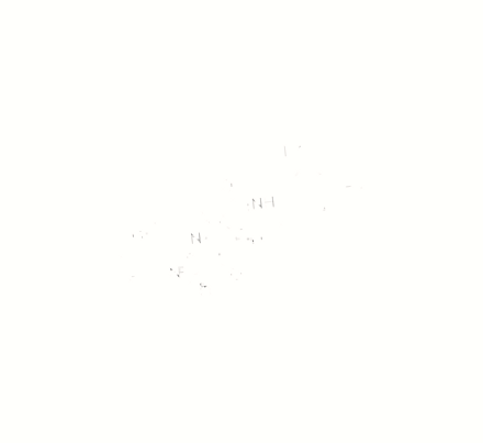 COc1c2n(cc(C(=O)NCc3c(F)cc(F)cc3F)c1=O)C1COCCCN(C1)C2=O